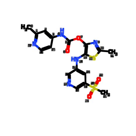 Cc1cc(NC(=O)Oc2nc(C)sc2Nc2cncc(S(C)(=O)=O)c2)ccn1